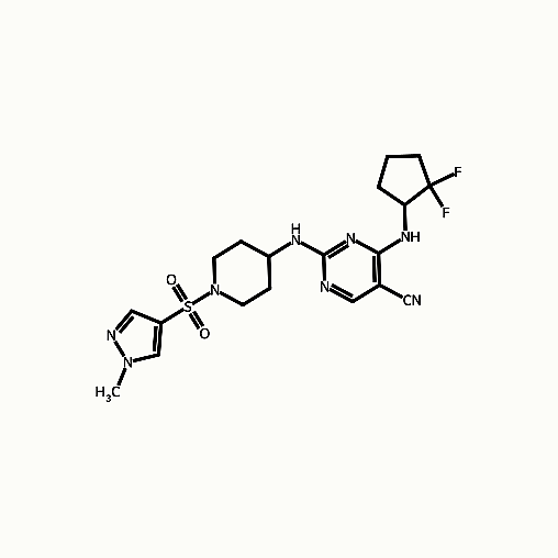 Cn1cc(S(=O)(=O)N2CCC(Nc3ncc(C#N)c(NC4CCCC4(F)F)n3)CC2)cn1